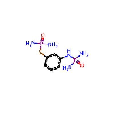 NP(N)(=O)Nc1cccc(SP(N)(N)=O)c1